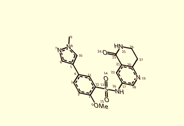 COc1ccc(-c2cnn(C)c2)cc1S(=O)(=O)Nc1cnc2c(c1)C(=O)NCC2